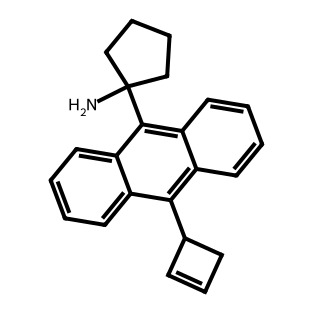 NC1(c2c3ccccc3c(C3C=CC3)c3ccccc23)CCCC1